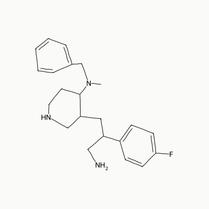 CN(Cc1ccccc1)C1CCNCC1CC(CN)c1ccc(F)cc1